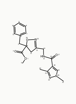 COC(=O)C1(Cc2ccccc2)CC(CNC(=O)c2cn(C)nc2C)=NO1